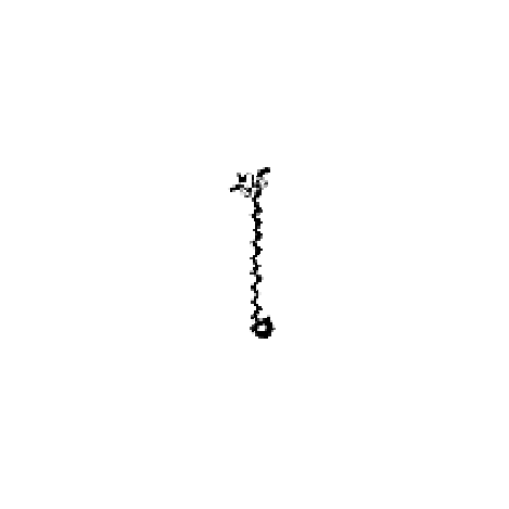 CCO[Si](CCCCCCCCCCCCCCCCCCc1ccccc1)(OCC)OCC